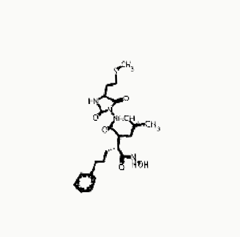 CSCCC1NC(=O)N(NC(=O)C(CC(C)C)[C@@H](CCCc2ccccc2)C(=O)NO)C1=O